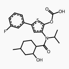 CC1CCC(C(=O)N(c2cc(-c3cccc(F)c3)sc2OC(=O)O)C(C)C)C(O)C1